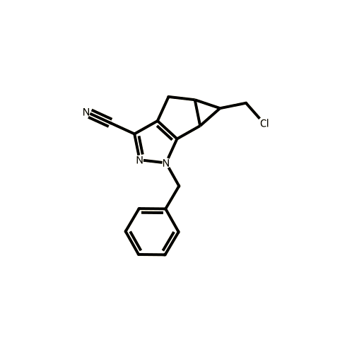 N#Cc1nn(Cc2ccccc2)c2c1CC1C(CCl)C21